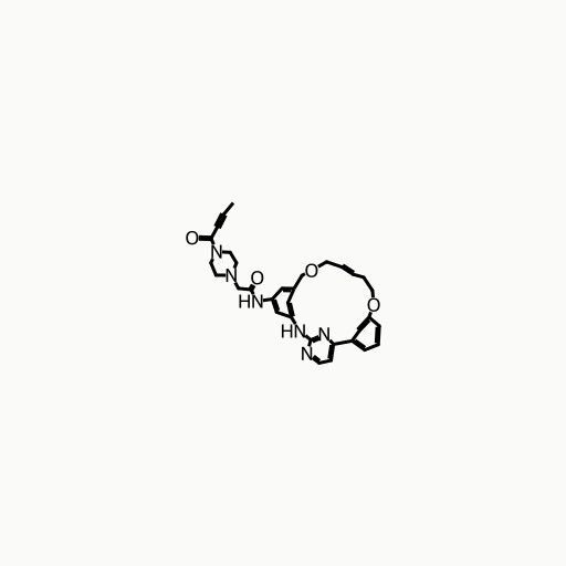 CC#CC(=O)N1CCN(CC(=O)Nc2cc3cc(c2)Nc2nccc(n2)-c2cccc(c2)OCC/C=C/COC3)CC1